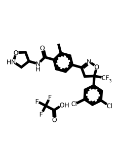 Cc1cc(C2=NOC(c3cc(Cl)cc(Cl)c3)(C(F)(F)F)C2)ccc1C(=O)NC1CNOC1.O=C(O)C(F)(F)F